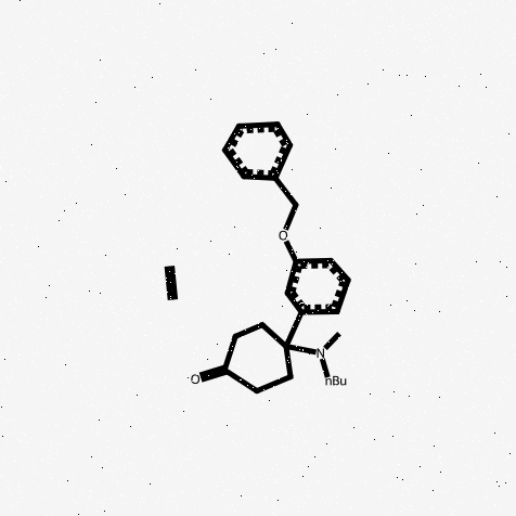 C=C.CCCCN(C)C1(c2cccc(OCc3ccccc3)c2)CCC(=O)CC1